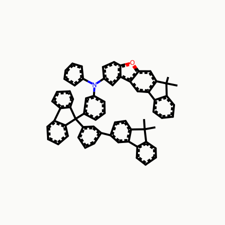 CC1(C)c2ccccc2-c2cc(-c3cccc(C4(c5cccc(N(c6ccccc6)c6ccc7oc8cc9c(cc8c7c6)-c6ccccc6C9(C)C)c5)c5ccccc5-c5ccccc54)c3)ccc21